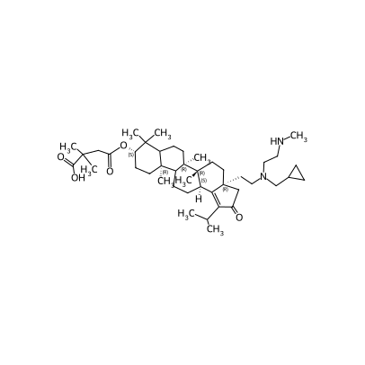 CNCCN(CC[C@@]12CC[C@]3(C)[C@H](CCC4[C@@]5(C)CC[C@H](OC(=O)CC(C)(C)C(=O)O)C(C)(C)C5CC[C@]43C)C1=C(C(C)C)C(=O)C2)CC1CC1